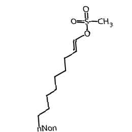 CCCCCCCCCCCCCCCCC=COS(C)(=O)=O